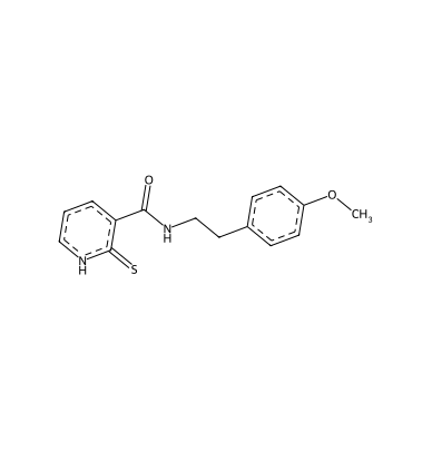 COc1ccc(CCNC(=O)c2ccc[nH]c2=S)cc1